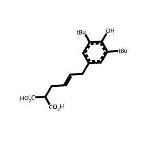 CC(C)(C)c1cc(CC=CCC(C(=O)O)C(=O)O)cc(C(C)(C)C)c1O